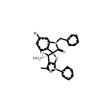 CCOC(=O)[C@@]1(C(F)(F)F)c2c(C)nn(-c3ccccc3)c2O[C@@]12C(=O)N(Cc1ccccc1)c1cc(Br)ccc12